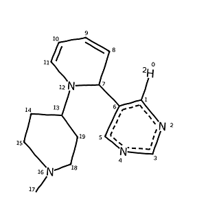 [2H]c1ncncc1C1C=CC=CN1C1CCN(C)CC1